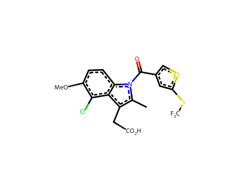 COc1ccc2c(c1Cl)c(CC(=O)O)c(C)n2C(=O)c1csc(SC(F)(F)F)c1